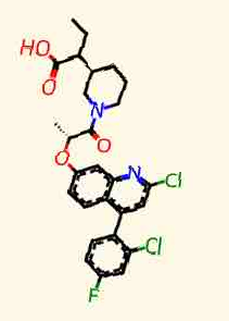 CCC(C(=O)O)[C@H]1CCCN(C(=O)[C@@H](C)Oc2ccc3c(-c4ccc(F)cc4Cl)cc(Cl)nc3c2)C1